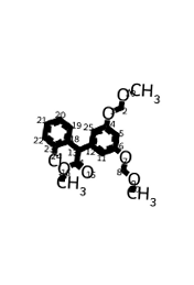 COCOc1cc(OCOC)cc(C(C(=O)OC)c2ccccc2Cl)c1